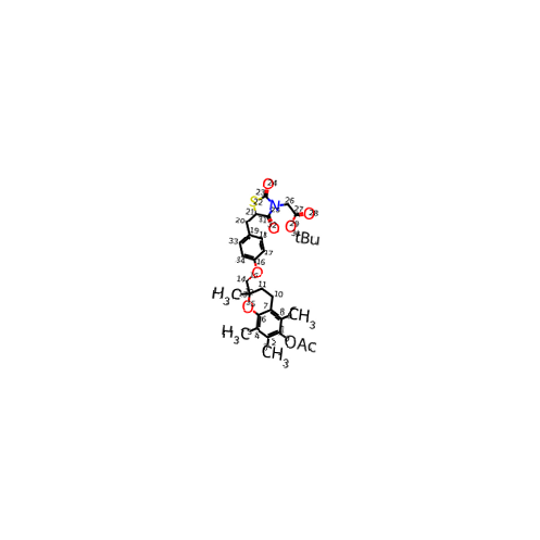 CC(=O)Oc1c(C)c(C)c2c(c1C)CCC(C)(COc1ccc(CC3SC(=O)N(CC(=O)OC(C)(C)C)C3=O)cc1)O2